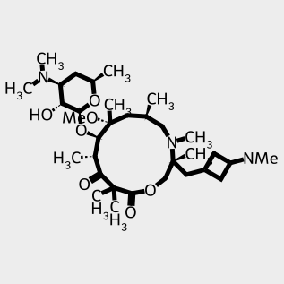 CNC1CC(C[C@]2(C)COC(=O)C(C)(C)C(=O)[C@H](C)[C@@H](O[C@@H]3O[C@H](C)C[C@H](N(C)C)[C@H]3O)[C@](C)(OC)C[C@@H](C)CN2C)C1